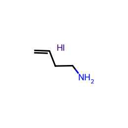 C=CCCN.I